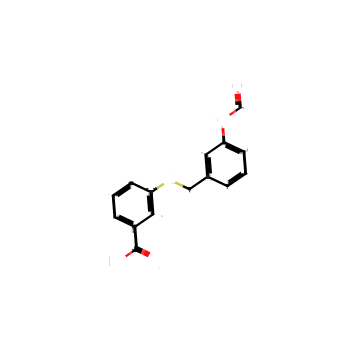 O=COc1cccc(CSc2cccc(C(=O)O)c2)c1